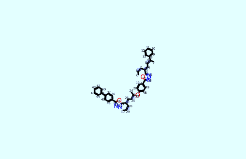 C\C=C/C(=C\C=C(/C)c1ccccc1)c1nnc(-c2ccc(O/C(C)=C/C=C(\C=C/C)c3nnc(-c4ccc(-c5ccccc5)cc4)o3)cc2)o1